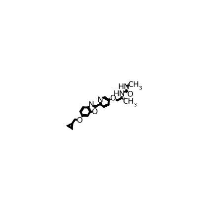 CNC(=O)N[C@@H](C)COc1ccc(-c2nc3ccc(OCC4CC4)cc3o2)nc1